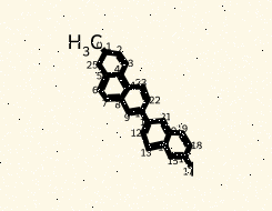 CC1C=Cc2c(ccc3cc(-c4ccc5cc(I)ccc5c4)ccc23)C1